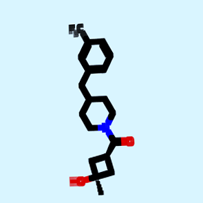 C[C@]1(O)C[C@@H](C(=O)N2CCC(Cc3cccc(C(F)(F)F)c3)CC2)C1